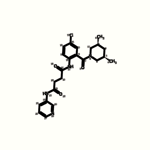 C[C@@H]1C[C@H](C)CN(C(=O)c2cc(Cl)ccc2NC(=O)CCC(=O)Nc2cccnc2)C1